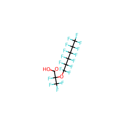 O=C(O)C(F)(OC(F)(F)C(F)(F)C(F)(F)C(F)(F)C(F)(F)C(F)(F)F)C(F)(F)F